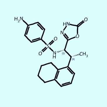 C[C@H](c1cccc2c1CCCC2)[C@H](NS(=O)(=O)c1ccc(N)cc1)c1n[nH]c(=O)o1